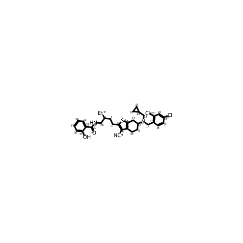 CCC(CCc1sc2c(c1C#N)CCC(N(Cc1ccc(Cl)cc1Cl)CC1CC1)C2)CNC(=O)c1ccccc1O